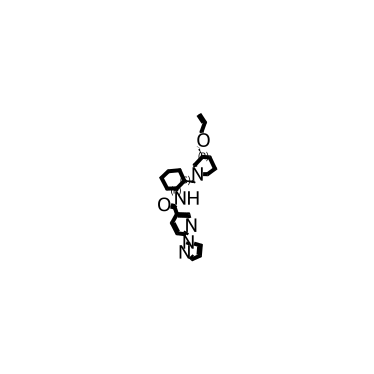 C=CCOC[C@@H]1CCCN(C[C@@H]2CCCC[C@H]2NC(=O)c2ccc(-n3cccn3)nc2)C1